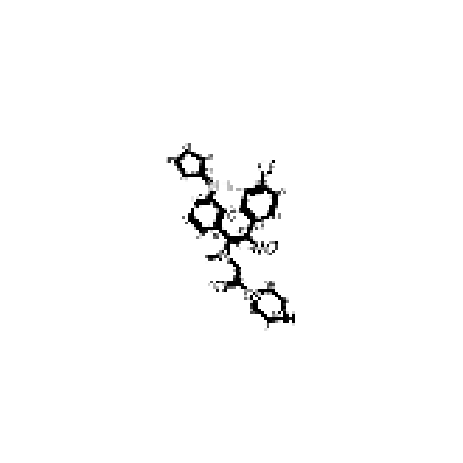 CN(CC(=O)N1CCNCC1)/C(=C(\N=O)c1ccc(C(F)(F)F)cc1)c1ccnc(NC2CCCC2)c1